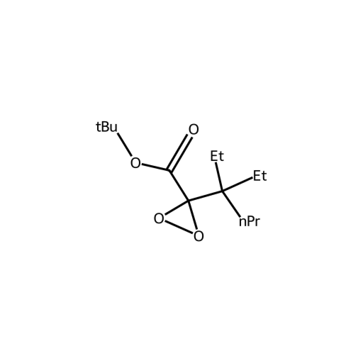 CCCC(CC)(CC)C1(C(=O)OC(C)(C)C)OO1